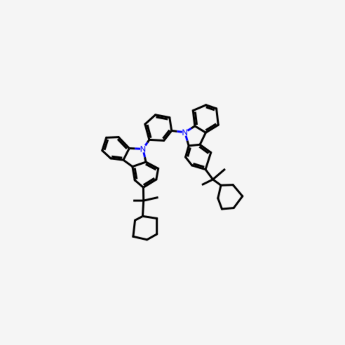 CC(C)(c1ccc2c(c1)c1ccccc1n2-c1cccc(-n2c3ccccc3c3cc(C(C)(C)C4CCCCC4)ccc32)c1)C1CCCCC1